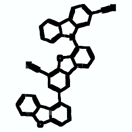 N#Cc1ccc2c3ccccc3n(-c3cccc4c3oc3c(C#N)cc(-c5cccc6oc7ccccc7c56)cc34)c2c1